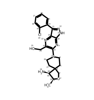 C[C@@H]1OCC2(CCN(c3nc4[nH]nc(-c5ccccc5Cl)c4nc3CO)CC2)[C@@H]1N